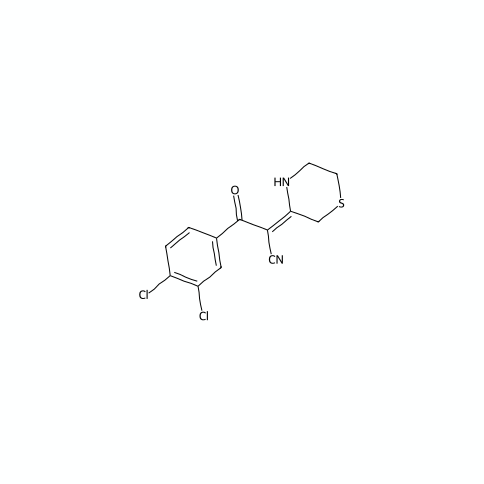 N#C/C(C(=O)c1ccc(Cl)c(Cl)c1)=C1\CSCCN1